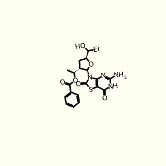 CCC(O)[C@@H]1C[C@@H](C(C)OC(=O)c2ccccc2)[C@H](n2c(=O)sc3c(=O)[nH]c(N)nc32)O1